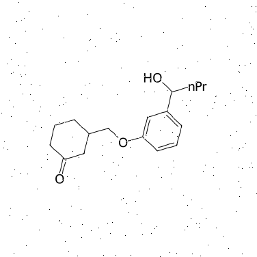 CCCC(O)c1cccc(OCC2CCCC(=O)C2)c1